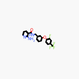 Nc1ncccc1C(=O)NCc1cccc(Oc2ccc(C(F)(F)F)cc2F)c1